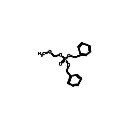 COCOP(=O)(OCc1ccccc1)OCc1ccccc1